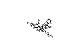 COCCO[C@]1(NC(=O)C(N)c2ccccc2)C(=O)N2C(C(=O)O)=C(COC(C)=O)CS[C@@H]21